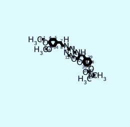 CCOc1ccc(CCNc2ncnc(N[C@@H](Cc3ccc(OC(=O)N(C)C)cc3)C(=O)O)n2)cc1OC